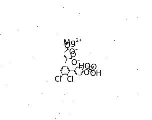 C=C(C)C(=O)[O-].CC(=O)[O-].Clc1cccc(-c2ccccc2)c1Cl.O=S(=O)(O)O.[Mg+2]